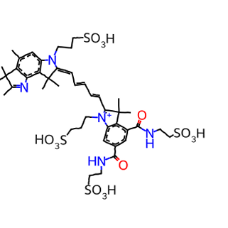 CC1=Nc2c(c(C)cc3c2C(C)(C)\C(=C/C=C/C=C/C2=[N+](CCCS(=O)(=O)O)c4cc(C(=O)NCCS(=O)(=O)O)cc(C(=O)NCCS(=O)(=O)O)c4C2(C)C)N3CCCS(=O)(=O)O)C1(C)C